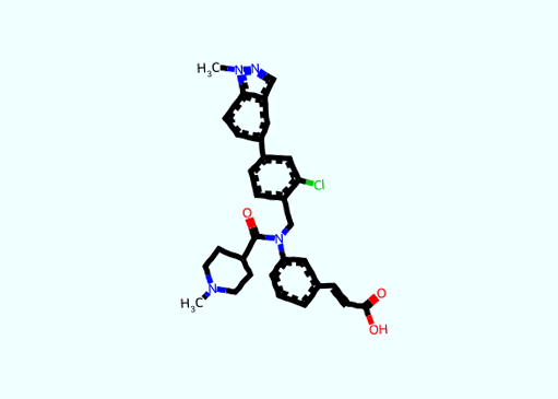 CN1CCC(C(=O)N(Cc2ccc(-c3ccc4c(cnn4C)c3)cc2Cl)c2cccc(C=CC(=O)O)c2)CC1